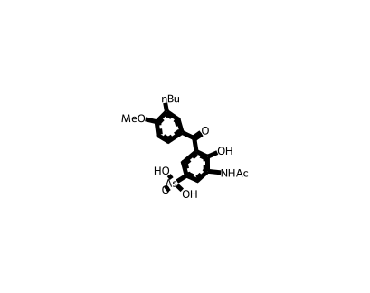 CCCCc1cc(C(=O)c2cc([As](=O)(O)O)cc(NC(C)=O)c2O)ccc1OC